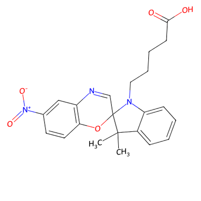 CC1(C)c2ccccc2N(CCCCC(=O)O)C12C=Nc1cc([N+](=O)[O-])ccc1O2